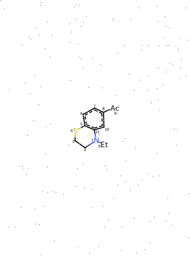 CCN1CCSc2ccc(C(C)=O)cc21